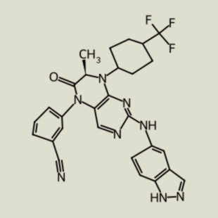 C[C@@H]1C(=O)N(c2cccc(C#N)c2)c2cnc(Nc3ccc4[nH]ncc4c3)nc2N1C1CCC(C(F)(F)F)CC1